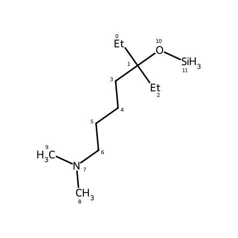 CCC(CC)(CCCCN(C)C)O[SiH3]